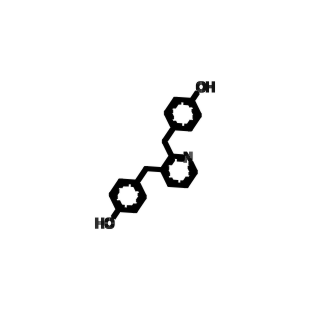 Oc1ccc(Cc2cccnc2Cc2ccc(O)cc2)cc1